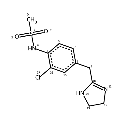 CS(=O)(=O)Nc1ccc(CC2=NCCN2)cc1Cl